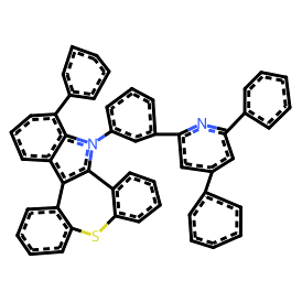 c1ccc(-c2cc(-c3ccccc3)nc(-c3cccc(-n4c5c(c6cccc(-c7ccccc7)c64)-c4ccccc4Sc4ccccc4-5)c3)c2)cc1